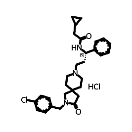 Cl.O=C(CC1CC1)N[C@@H](CCN1CCC2(CC1)CC(=O)N(Cc1ccc(Cl)cc1)C2)c1ccccc1